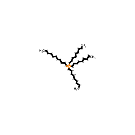 CCCCCCCCCCC[PH](CCCCCCCCC)(CCCCCCCCC)CCCCCCCCC